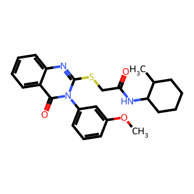 COc1cccc(-n2c(SCC(=O)NC3CCCCC3C)nc3ccccc3c2=O)c1